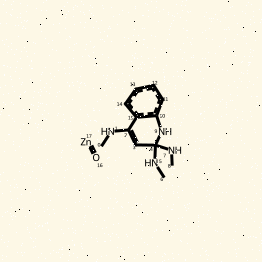 CNC1=CC(NC)(NC)Nc2ccccc21.[O]=[Zn]